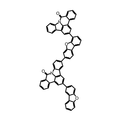 O=c1c2ccccc2c2cc(-c3ccc4oc5ccccc5c4c3)cc3c4cc(-c5ccc6c(c5)oc5c(-c7cc8c9ccccc9c(=O)n9c%10ccccc%10c(c7)c89)cccc56)ccc4n1c23